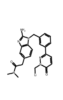 [Li][CH2]n1nc(-c2cccc(Cn3c(N)nc4cc(CC(=O)N(C)C)ccc43)c2)ccc1=O